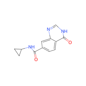 O=C(NC1CC1)c1ccc2c(=O)[nH]cnc2c1